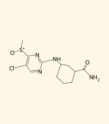 C[S+]([O-])c1nc(NC2CCCC(C(N)=O)C2)ncc1Cl